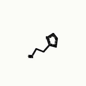 [NH]CCc1cccs1